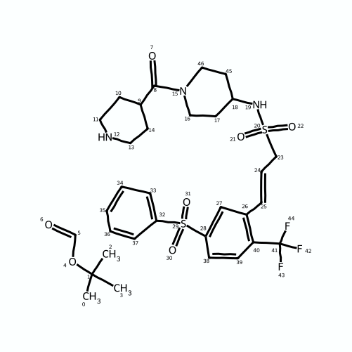 CC(C)(C)OC=O.O=C(C1CCNCC1)N1CCC(NS(=O)(=O)CC=Cc2cc(S(=O)(=O)c3ccccc3)ccc2C(F)(F)F)CC1